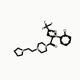 O=C(c1cc(C(F)(F)F)nn1-c1ccccc1Cl)N1CCN(CCN2CCCC2)CC1